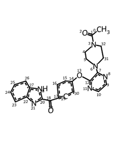 CC(=O)N1CCN(c2nccnc2Oc2ccc(C(=O)c3nc4ccccc4[nH]3)cc2)CC1